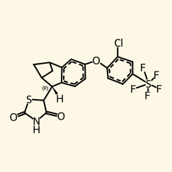 O=C1NC(=O)C([C@H]2c3ccc(Oc4ccc(S(F)(F)(F)(F)F)cc4Cl)cc3C3CC2C3)S1